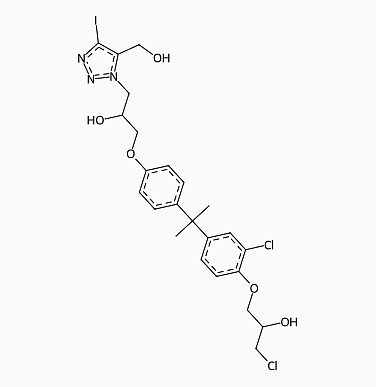 CC(C)(c1ccc(OCC(O)Cn2nnc(I)c2CO)cc1)c1ccc(OCC(O)CCl)c(Cl)c1